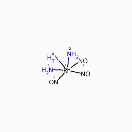 [NH2][Rh]([NH2])([NH2])([N]=O)([N]=O)[N]=O